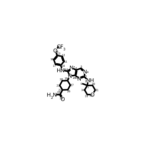 CC1(Nc2ncc3nc(Nc4ccc(OC(F)(F)F)cc4)n(C4CCC(C(N)=O)CC4)c3n2)CCOCC1